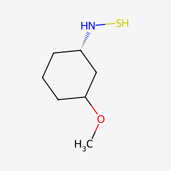 COC1CCC[C@H](NS)C1